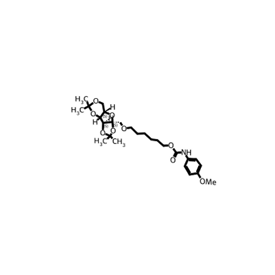 COc1ccc(NC(=O)OCCCCCCOC[C@@]23O[C@H]4COC(C)(C)O[C@H]4[C@@H]2OC(C)(C)O3)cc1